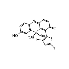 CC(C)(C)[Si]1(C(C)(C)C)C2=C(c3sc(I)cc3I)C(=O)C=CC2=Nc2ccc(O)cc21